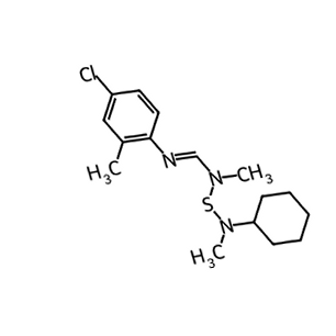 Cc1cc(Cl)ccc1N=CN(C)SN(C)C1CCCCC1